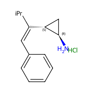 CC(C)C(=Cc1ccccc1)[C@@H]1C[C@H]1N.Cl